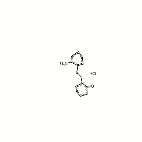 Cl.Nc1ccccc1SCn1ccccc1=O